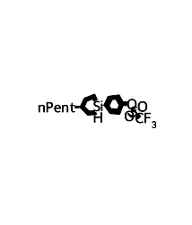 CCCCC[C@H]1CC[Si@H](c2ccc(OS(=O)(=O)C(F)(F)F)cc2)CC1